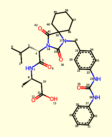 CC(C)C[C@@H](C(=O)N[C@H](C)CC(=O)O)N1C(=O)N(Cc2ccc(NC(=O)Nc3ccccc3)cc2)C2(CCCCC2)C1=O